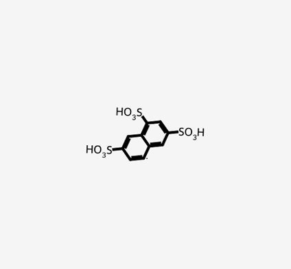 O=S(=O)(O)c1cc(S(=O)(=O)O)c2cc(S(=O)(=O)O)c[c]c2c1